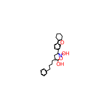 O=C(O)[C@@H](CCCCc1ccccc1)CC(=NO)c1ccc2c3c(oc2c1)CCCC3